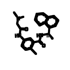 Cc1ccc(NC(=O)CN(C)C)cc1C(=O)N[C@H](C)c1cccc2ccccc12